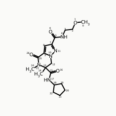 COCCNC(=O)c1cc2n(n1)CC(C)(C(=O)NC1CCCC1)N(C)C2=O